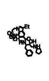 CCc1cn2c3c(cc(C(=O)NC(Cc4ccccc4)C(O)CNC4CCCC4)cc13)N(C)S(=O)(=O)CC2